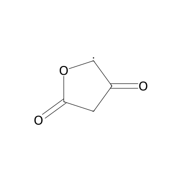 O=C1[CH]OC(=O)C1